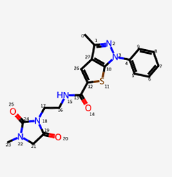 Cc1nn(-c2ccccc2)c2sc(C(=O)NCCN3C(=O)CN(C)C3=O)cc12